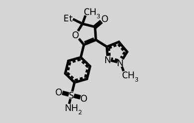 CCC1(C)OC(c2ccc(S(N)(=O)=O)cc2)=C(c2ccn(C)n2)C1=O